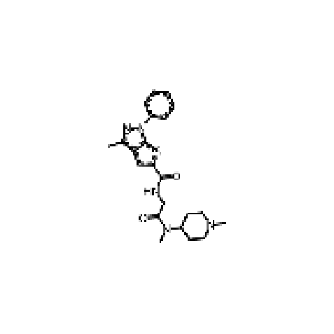 Cc1nn(-c2ccccc2)c2sc(C(=O)NCC(=O)N(C)C3CCN(C)CC3)cc12